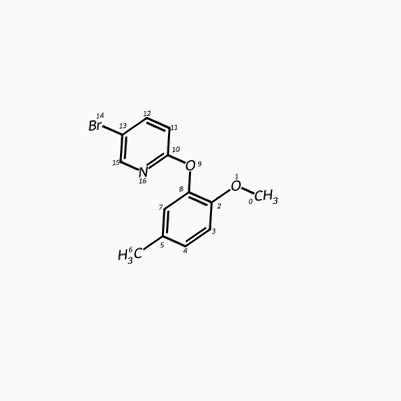 COc1ccc(C)cc1Oc1ccc(Br)cn1